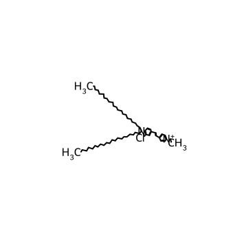 CCCCCCCCCCCCCCCCCCCCCCN(CCCCCCCCCCCCCCCCCCCCCC)c1ccc(/C=C/c2cc[n+](CC)cc2)cc1Cl